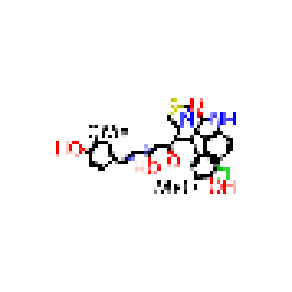 COc1cc(/C=C/C(O)=C/C(=O)C2C3CSCN3C3(C(=O)Nc4ccc(Cl)cc43)C2c2ccc(O)c(OC)c2)ccc1O